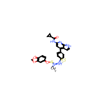 CN(Nc1ccc(-c2cc(NC(=O)C3CC3)nc3[nH]ccc23)cc1)SOc1ccc2c(c1)OCO2.S